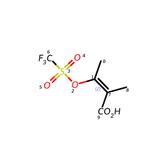 C/C(OS(=O)(=O)C(F)(F)F)=C(\C)C(=O)O